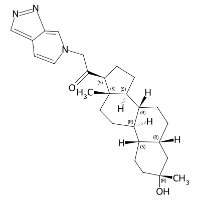 C[C@@]1(O)CC[C@H]2[C@H](CC[C@@H]3[C@@H]2CC[C@]2(C)[C@@H](C(=O)Cn4ccc5cnnc-5c4)CC[C@@H]32)C1